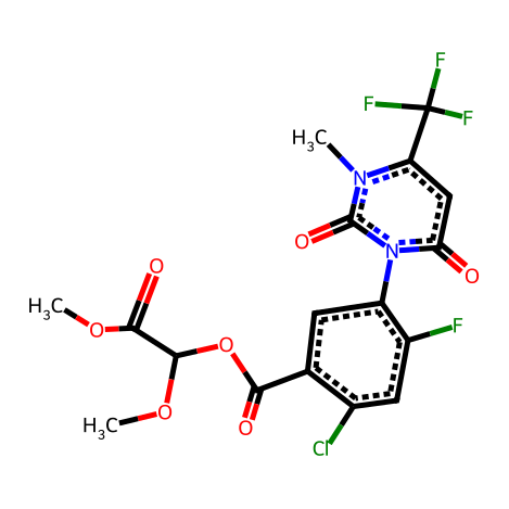 COC(=O)C(OC)OC(=O)c1cc(-n2c(=O)cc(C(F)(F)F)n(C)c2=O)c(F)cc1Cl